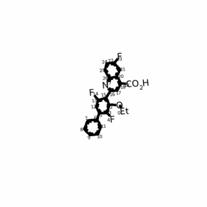 CCOc1c(F)c(-c2ccccc2)cc(F)c1-c1cc(C(=O)O)c2cc(F)ccc2n1